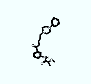 COC(C)C(=O)Nc1cccc(C(=O)CCCCN2CCN(c3ccccc3)CC2)c1